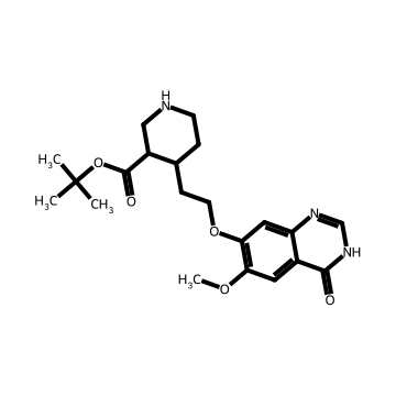 COc1cc2c(=O)[nH]cnc2cc1OCCC1CCNCC1C(=O)OC(C)(C)C